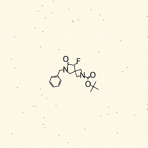 CC(C)(C)OC(=O)N1CC2(C1)CN(Cc1ccccc1)C(=O)C2F